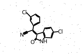 N#C/C(=C1\C(=O)Nc2cc(Cl)ccc21)c1cccc(Cl)c1